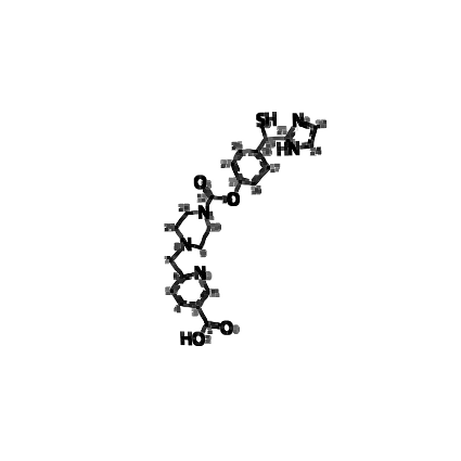 O=C(O)c1ccc(CN2CCN(C(=O)Oc3ccc(C(S)c4ncc[nH]4)cc3)CC2)nc1